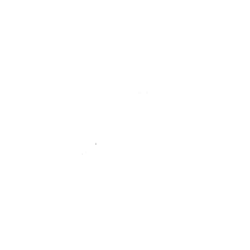 COc1cc(F)cc(CC(N)=O)c1